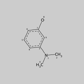 CN(C)c1cccc([O])c1